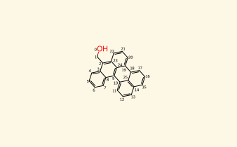 OCc1c2ccccc2c2c3cccc4cccc(c5cccc1c52)c43